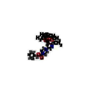 COC(C)c1ncc(N2CCN(C(=O)OCc3ccccc3)CC2)cc1B1OC(C)(C)C(C)(C)O1